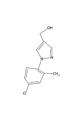 Cc1cc(Cl)ccc1-n1cc(CO)cn1